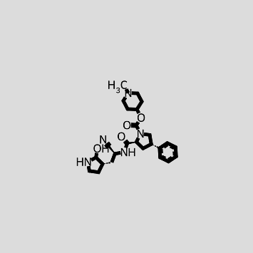 CN1CCC(OC(=O)N2C[C@H](c3ccccc3)C[C@H]2C(=O)N[C@H](C#N)C[C@@H]2CCNC2O)CC1